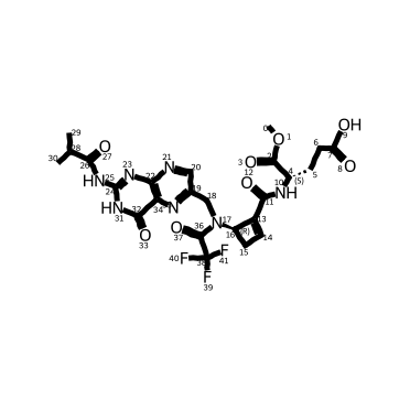 COC(=O)[C@H](CCC(=O)O)NC(=O)C1=CC[C@H]1N(Cc1cnc2nc(NC(=O)C(C)C)[nH]c(=O)c2n1)C(=O)C(F)(F)F